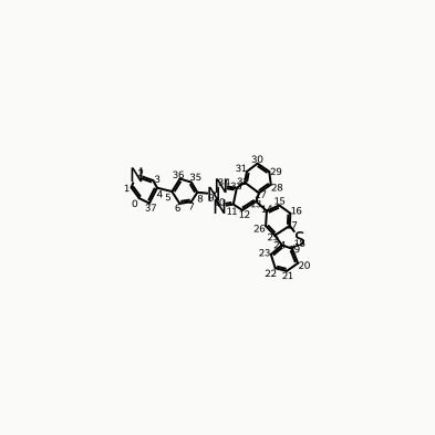 c1cncc(-c2ccc(-n3nc4cc(-c5ccc6sc7ccccc7c6c5)c5ccccc5c4n3)cc2)c1